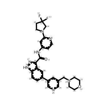 O=C(Nc1ccnc(N2CCC(F)(F)C2)c1)c1n[nH]c2ccc(-c3cncc(CN4CCOCC4)c3)cc12